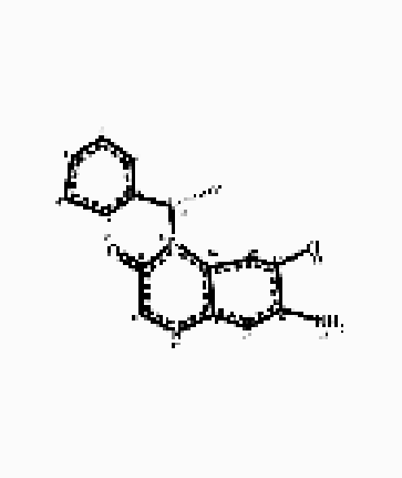 C[C@@H](c1ccccc1)n1c(=O)cnc2cc(N)c(Cl)cc21